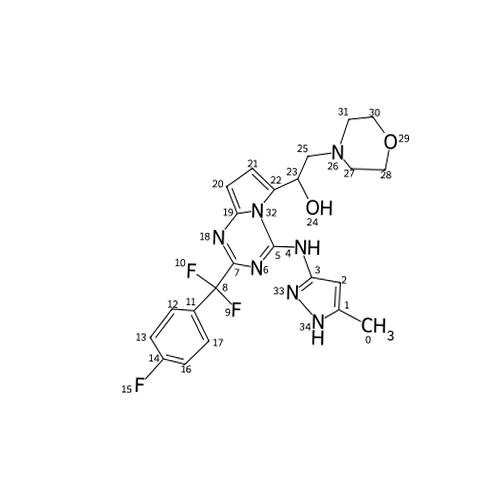 Cc1cc(Nc2nc(C(F)(F)c3ccc(F)cc3)nc3ccc(C(O)CN4CCOCC4)n23)n[nH]1